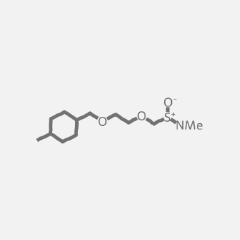 CN[S+]([O-])COCCOCC1CCC(C)CC1